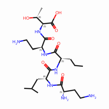 CCC[C@H](NC(=O)[C@@H](CC(C)C)NC(=O)[C@@H](N)CCN)C(=O)N[C@@H](CCN)C(=O)N[C@H](C(=O)O)[C@@H](C)O